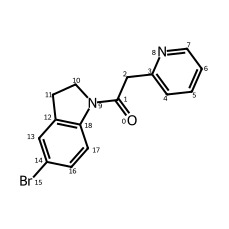 O=C(Cc1ccccn1)N1CCc2cc(Br)ccc21